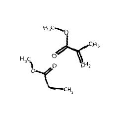 C=C(C)C(=O)OC.CCC(=O)OC